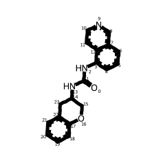 O=C(Nc1cccc2cnccc12)NC1COc2ccccc2C1